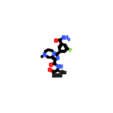 CNC(=O)[C@@H](NC(=O)c1nc(-c2cc(F)cc(C(N)=O)c2)n2c1CN(C)CCC2)C(C)(C)C